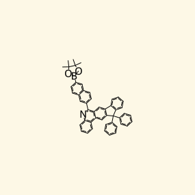 CC1(C)OB(c2ccc3cc(-c4nc5ccccc5c5cc6c(cc45)-c4ccccc4C6(c4ccccc4)c4ccccc4)ccc3c2)OC1(C)C